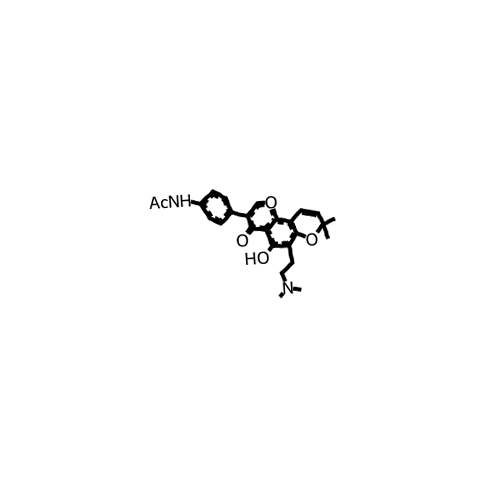 CC(=O)Nc1ccc(-c2coc3c4c(c(CCN(C)C)c(O)c3c2=O)OC(C)(C)C=C4)cc1